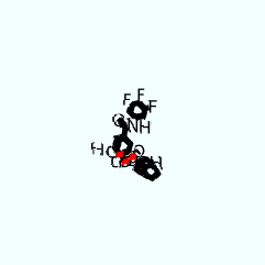 O=C(Nc1cc(F)c(F)c(F)c1)c1ccc(Cl)c(S(=O)(=O)[C@H]2CC3CCC(C2)[C@]3(O)COCCO)c1